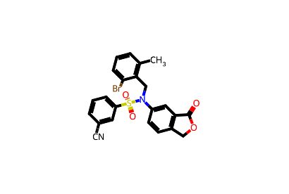 Cc1cccc(Br)c1CN(c1ccc2c(c1)C(=O)OC2)S(=O)(=O)c1cccc(C#N)c1